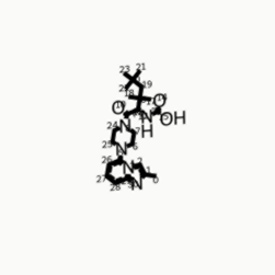 Cc1cn2c(N3CCN(C(=O)[C@H](NC(=O)O)C(C)(C)CC(C)(C)C)CC3)cccc2n1